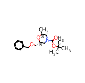 C[C@H]1CN(C(=O)OC(C)(C)C)C[C@H](COCc2ccccc2)O1